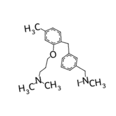 Cc1ccc(Cc2cccc(CN(C)I)c2)c(OCCCN(C)C)c1